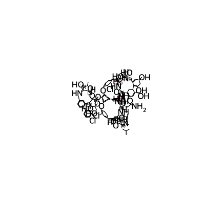 CN[C@H](CC(C)C)C(=O)N[C@H]1C(=O)N[C@@H](CCC(N)=O)C(=O)N[C@H]2C(=N)N[C@H]3C(=O)N[C@H](C(=O)N[C@H](CO)C4=CC(O)CC(O)=C4C4CC3=CC=C4CO)[C@H](O)C3=CC=C(Oc4cc2cc(c4O[C@H]2OC(CO)C(O)[C@@H]4c5cc(ccc5-c5ccc(Cl)cc5)CNC5(C)C[C@H](OC24)OC(C)[C@H]5O)OC2=C(Cl)C=C(CC2)[C@H]1O)C(Cl)C3